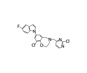 Fc1ccc2c(ccn2-c2cc(Cl)c3c(c2)CN(Cc2ccnc(Cl)n2)CCO3)c1